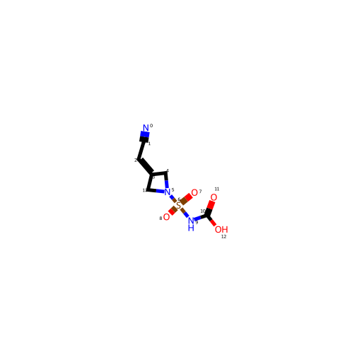 N#CC=C1CN(S(=O)(=O)NC(=O)O)C1